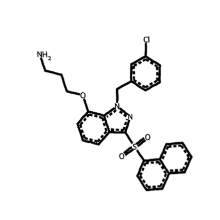 NCCCOc1cccc2c(S(=O)(=O)c3cccc4ccccc34)nn(Cc3cccc(Cl)c3)c12